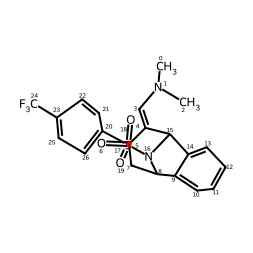 CN(C)C=C1C(=O)CC2c3ccccc3C1N2S(=O)(=O)c1ccc(C(F)(F)F)cc1